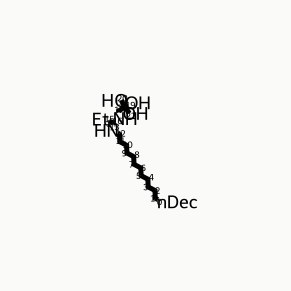 CCCCCCCCCCCCCCCCCCCCCCNC(CC)NCC(O)(O)O